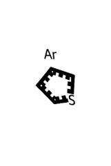 [Ar].c1ccsc1